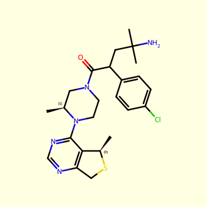 C[C@H]1SCc2ncnc(N3CCN(C(=O)C(CC(C)(C)N)c4ccc(Cl)cc4)C[C@@H]3C)c21